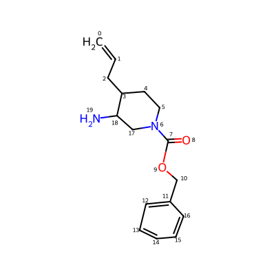 C=CCC1CCN(C(=O)OCc2ccccc2)CC1N